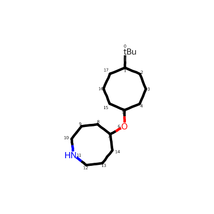 CC(C)(C)C1CCCC(OC2CCCNCCC2)CCC1